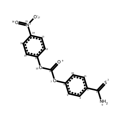 NC(=S)c1ccc(OC(=O)Oc2ccc([N+](=O)[O-])cc2)cc1